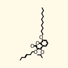 CCC=CCCOc1c(OC(C)C)c2cccc(OCCCCCCCCCC)c2oc1=O